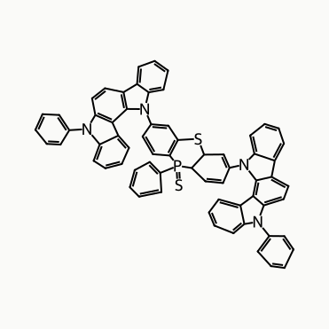 S=P1(c2ccccc2)c2ccc(-n3c4ccccc4c4ccc5c(c6ccccc6n5-c5ccccc5)c43)cc2SC2C=C(n3c4ccccc4c4ccc5c(c6ccccc6n5-c5ccccc5)c43)C=CC21